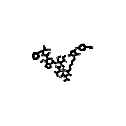 CC[C@H](C)C([C@H](CC(=O)N1CCCC1[C@@H](OC)C(C)C(=O)NC(Cc1ccccc1)C(=O)O)OC)N(C)C(=O)[C@@H](NC(=O)[C@H](C(C)C)N(C)C(=O)CCCCCN1C(=O)C=C(Oc2ccc(C#N)cc2)C1=O)C(C)C